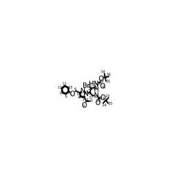 CC(=O)c1cc(COc2ccccc2)nn1C(CNC(=O)OC(C)(C)C)C(Br)CNC(=O)OC(C)(C)C